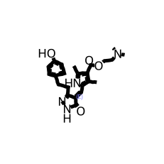 Cc1[nH]c(/C=C2/C(=O)NN=C2CCc2ccc(O)cc2)c(C)c1C(=O)OCCN(C)C